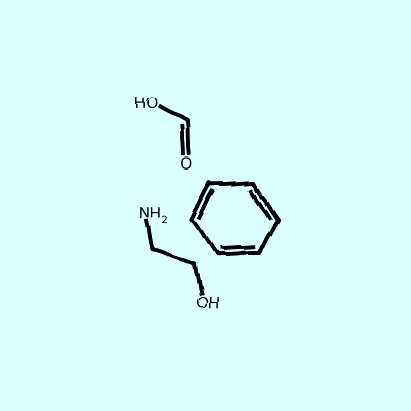 NCCO.O=CO.c1ccccc1